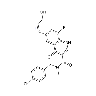 CN(Cc1ccc(Cl)cc1)C(=O)c1c[nH]c2c(F)cc(/C=C\CO)cc2c1=O